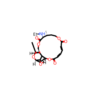 CCN[C@H]1C(=O)OC[C@]23CCC(C)=C[C@H]2O[C@@H]2C[C@@H](OC(=O)/C=C\C=C\C(=O)OCC[C@H]1C)[C@@]3(C)[C@]21CO1